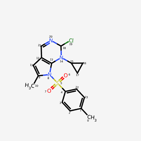 Cc1ccc(S(=O)(=O)n2c(C)cc3c2N(C2CC2)C(Cl)N=C3)cc1